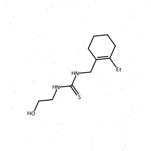 CCC1=C(CNC(=S)NCCO)CCCC1